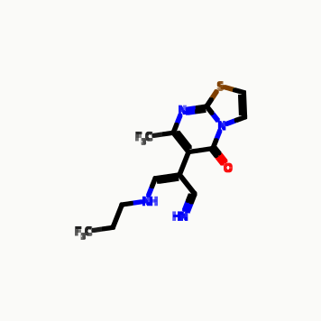 N=C/C(=C\NCCC(F)(F)F)c1c(C(F)(F)F)nc2sccn2c1=O